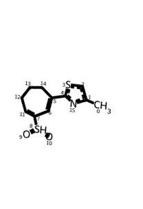 Cc1csc(C2=CC([SH](=O)=O)=CCCC2)n1